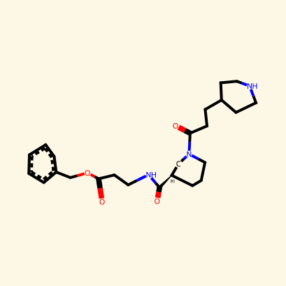 O=C(CCNC(=O)[C@@H]1CCCN(C(=O)CCC2CCNCC2)C1)OCc1ccccc1